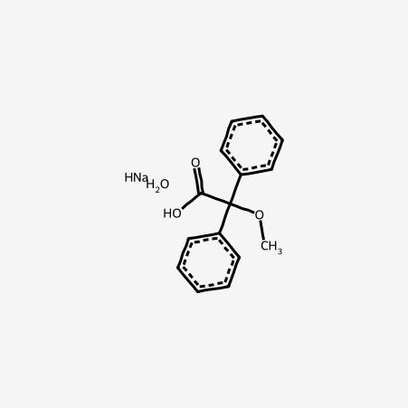 COC(C(=O)O)(c1ccccc1)c1ccccc1.O.[NaH]